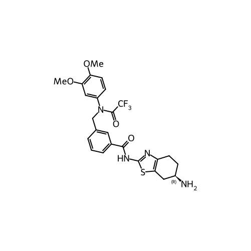 COc1ccc(N(Cc2cccc(C(=O)Nc3nc4c(s3)C[C@H](N)CC4)c2)C(=O)C(F)(F)F)cc1OC